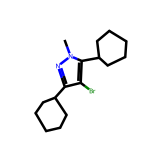 Cn1nc(C2CCCCC2)c(Br)c1C1CCCCC1